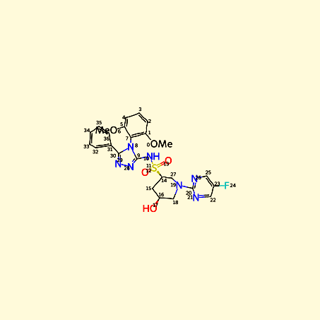 COc1cccc(OC)c1-n1c(NS(=O)(=O)[C@@H]2C[C@H](O)CN(c3ncc(F)cn3)C2)nnc1-c1ccccc1